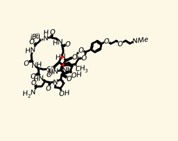 CC[C@H](C)[C@@H]1NC(=O)CNC(=O)C2Cc3c([nH]c4cc(O)ccc34)[S@+]([O-])CC(NC(=O)CNC1=O)C(=O)NC(CC(N)=O)C(=O)N1CC(O)CC1C(=O)N[C@@H]([C@@H](C)[C@@H]1COC(c3ccc(OCCOCCNC)cc3)O1)C(=O)N2